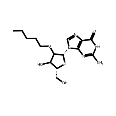 CCCCCOC1C(O)[C@@H](CO)O[C@H]1n1cnc2c(=O)[nH]c(N)nc21